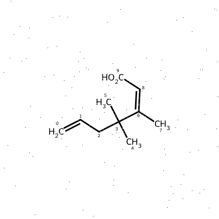 C=CCC(C)(C)C(C)=CC(=O)O